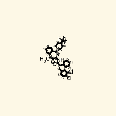 CN1C(=O)C(NC(=O)[C@H](Cc2ccc(Cl)c(Cl)c2)c2ccccc2)N=C(N2CCC(C(F)(F)F)CC2)c2ccccc21